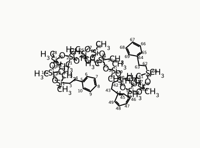 C[Si](C)(CCc1ccccc1)O[Si](C)(C)O[Si](C)(C)O[Si](C)(C)O[Si](C)(C)O[Si](C)(C)O[Si](C)(C)O[Si](C)(C)O[Si](C)(CCc1ccccc1)O[Si](C)(C)O[Si](C)(C)O[Si](C)(C)CCc1ccccc1